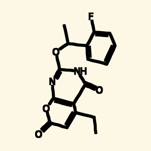 CCc1cc(=O)oc2nc(OC(C)c3ccccc3F)[nH]c(=O)c12